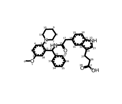 COc1ccc(N2CCCCC2)c(C(NC(=O)Cc2ccc3[nH]cc(CCC(=O)O)c3c2)c2ccccc2)c1